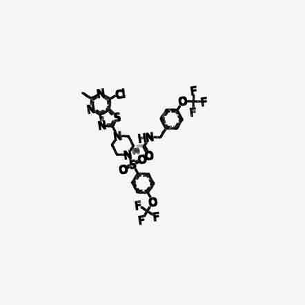 Cc1nc(Cl)c2sc(N3CCN(S(=O)(=O)c4ccc(OC(F)(F)F)cc4)[C@@H](C(=O)NCc4ccc(OC(F)(F)F)cc4)C3)nc2n1